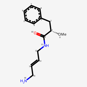 CO[C@@H](Cc1ccccc1)C(=O)NCC=CCN